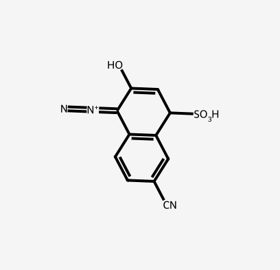 N#Cc1ccc2c(c1)C(S(=O)(=O)O)C=C(O)C2=[N+]=[N-]